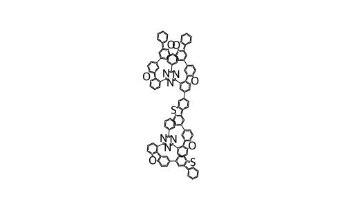 c1ccc(-c2nc(-c3cccc4oc5ccc(-c6ccc7sc8ccccc8c7c6)cc5c34)nc(-c3cccc4oc5ccc(-c6ccc7sc8cc(-c9cc(-c%10nc(-c%11ccccc%11)nc(-c%11cccc%12oc%13ccc(-c%14ccc%15oc%16ccccc%16c%15c%14)cc%13c%11%12)n%10)c%10c(c9)oc9ccc(-c%11ccc%12oc%13ccccc%13c%12c%11)cc9%10)ccc8c7c6)cc5c34)n2)cc1